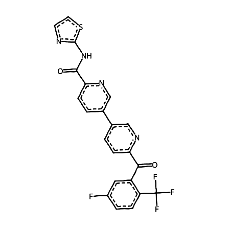 O=C(Nc1nccs1)c1ccc(-c2ccc(C(=O)c3cc(F)ccc3C(F)(F)F)nc2)cn1